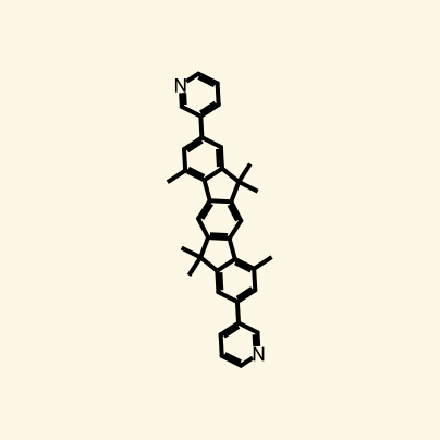 Cc1cc(-c2cccnc2)cc2c1-c1cc3c(cc1C2(C)C)-c1c(C)cc(-c2cccnc2)cc1C3(C)C